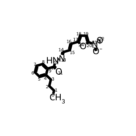 CCCCc1ccccc1C(=O)NN=CC=Cc1ccc([N+](=O)[O-])o1